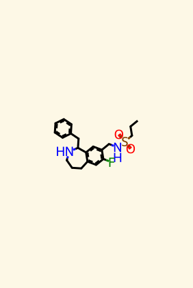 CCCS(=O)(=O)NCc1cc2c(cc1F)CCCNC2Cc1ccccc1